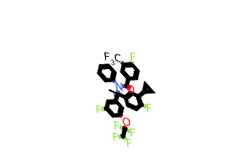 C[C@](c1cc(F)cc(OC(F)(F)C(F)F)c1)(c1ccc(F)c(C2CC2)c1)N(C(=O)c1ccc(F)c(C(F)(F)F)c1)c1ccccc1